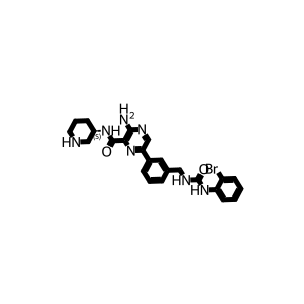 Nc1ncc(-c2cccc(CNC(=O)Nc3ccccc3Br)c2)nc1C(=O)N[C@H]1CCCNC1